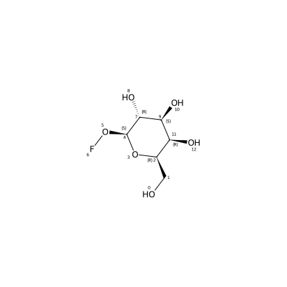 OC[C@H]1O[C@@H](OF)[C@H](O)[C@@H](O)[C@H]1O